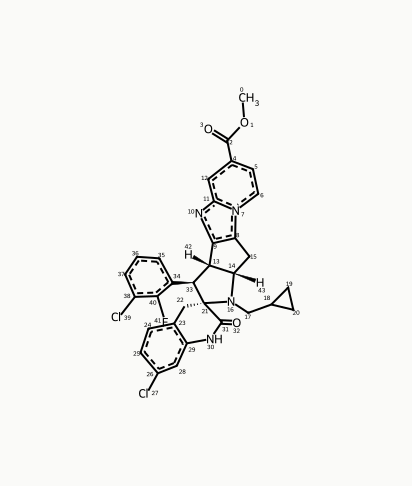 COC(=O)c1ccn2c3c(nc2c1)[C@@H]1[C@H](C3)N(CC2CC2)[C@]2(Cc3ccc(Cl)cc3NC2=O)[C@H]1c1cccc(Cl)c1F